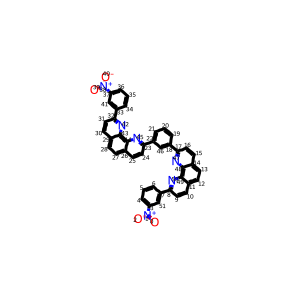 O=[N+]([O-])c1cccc(-c2ccc3ccc4ccc(-c5cccc(-c6ccc7ccc8ccc(-c9cccc([N+](=O)[O-])c9)nc8c7n6)c5)nc4c3n2)c1